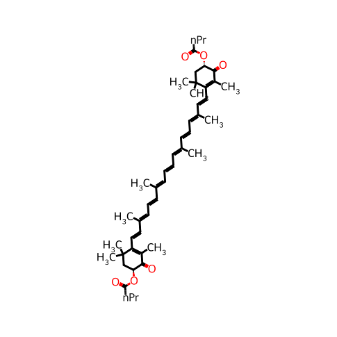 CCCC(=O)O[C@H]1CC(C)(C)C(/C=C/C(C)=C/C=C/C(C)=C/C=C/C=C(C)/C=C/C=C(C)/C=C/C2=C(C)C(=O)[C@@H](OC(=O)CCC)CC2(C)C)=C(C)C1=O